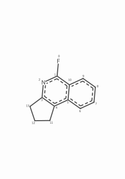 Fc1nc2c(c3ccccc13)CCC2